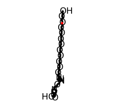 O=C(O)N1CCN(CCOCc2cn(CCOCCOCCOCCOCCOCCOCCOCCOCCOCCOCCOCCO)nn2)CC1